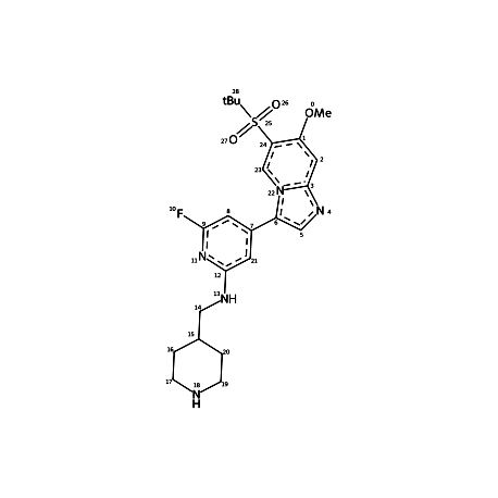 COc1cc2ncc(-c3cc(F)nc(NCC4CCNCC4)c3)n2cc1S(=O)(=O)C(C)(C)C